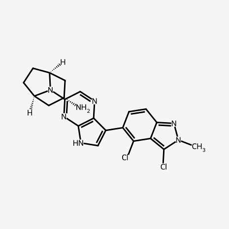 Cn1nc2ccc(-c3c[nH]c4nc(N5[C@@H]6CC[C@H]5C[C@H](N)C6)cnc34)c(Cl)c2c1Cl